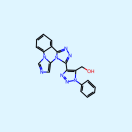 OCc1c(-c2nnc3c4ccccc4n4cncc4n23)nnn1-c1ccccc1